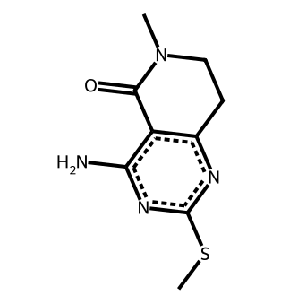 CSc1nc(N)c2c(n1)CCN(C)C2=O